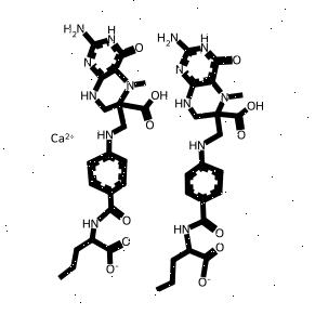 CCCC(NC(=O)c1ccc(NCC2(C(=O)O)CNc3nc(N)[nH]c(=O)c3N2C)cc1)C(=O)[O-].CCCC(NC(=O)c1ccc(NCC2(C(=O)O)CNc3nc(N)[nH]c(=O)c3N2C)cc1)C(=O)[O-].[Ca+2]